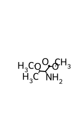 COC(=O)[C@@H](N)[C@@H](C)OC